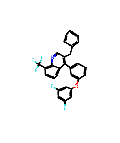 Fc1cc(F)cc(Oc2cccc(-c3c(Cc4ccccc4)cnc4c(C(F)(F)F)cccc34)c2)c1